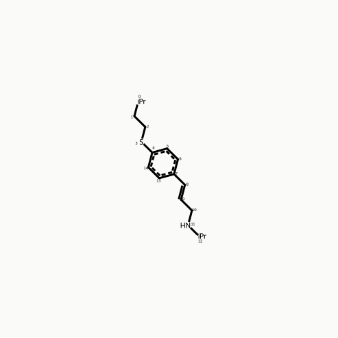 CC(C)CCSc1ccc(C=CCNC(C)C)cc1